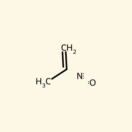 C=CC.[N].[O]